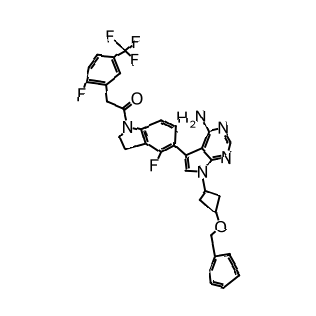 Nc1ncnc2c1c(-c1ccc3c(c1F)CCN3C(=O)Cc1cc(C(F)(F)F)ccc1F)cn2C1CC(OCc2ccccc2)C1